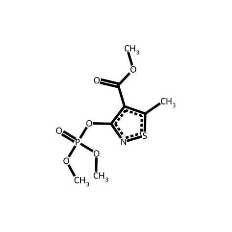 COC(=O)c1c(OP(=O)(OC)OC)nsc1C